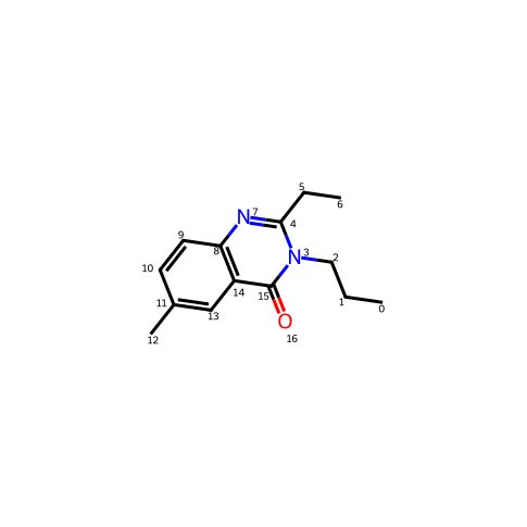 CCCn1c(CC)nc2ccc(C)cc2c1=O